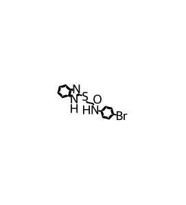 O=C(CSc1nc2ccccc2[nH]1)Nc1ccc(Br)cc1